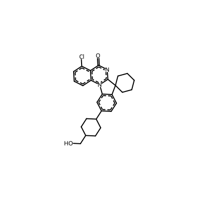 O=c1nc2n(c3cccc(Cl)c13)-c1cc(C3CCC(CO)CC3)ccc1C21CCCCC1